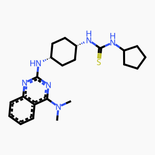 CN(C)c1nc(N[C@H]2CC[C@@H](NC(=S)NC3CCCC3)CC2)nc2ccccc12